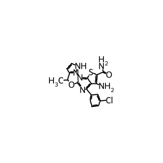 CC(Oc1nc(-c2cccc(Cl)c2)c2c(N)c(C(N)=O)sc2n1)c1cc[nH]n1